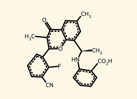 Cc1cc([C@@H](C)Nc2ccccc2C(=O)O)c2oc(-c3cccc(C#N)c3F)c(C)c(=O)c2c1